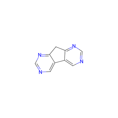 c1ncc2c(n1)Cc1ncncc1-2